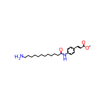 COC(=O)/C=C/c1ccc(NC(=O)CCCCCCCCCCCN)cc1